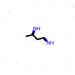 CC(=N)CC=N